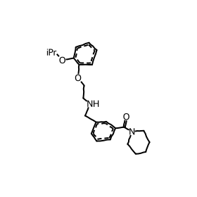 CC(C)Oc1ccccc1OCCNCc1cccc(C(=O)N2CCCCC2)c1